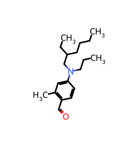 CCCCC(CC)CN(CCC)c1ccc(C=O)c(C)c1